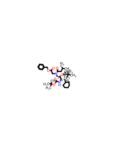 CC(C)CC(=O)N(CC(=O)OCc1ccccc1)C[C@@H](O[Si](C)(C)C(C)(C)C)[C@H](CC1CCCCC1)NC(=O)OC(C)(C)C